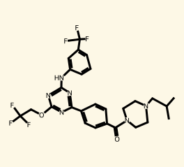 CC(C)CN1CCN(C(=O)c2ccc(-c3nc(Nc4cccc(C(F)(F)F)c4)nc(OCC(F)(F)F)n3)cc2)CC1